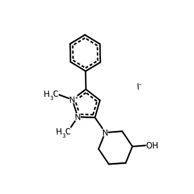 Cn1c(N2CCCC(O)C2)cc(-c2ccccc2)[n+]1C.[I-]